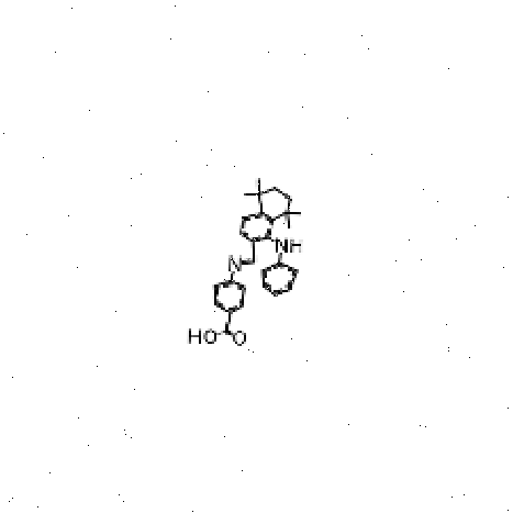 CC1(C)CCC(C)(C)c2c1ccc(C=Nc1ccc(C(=O)O)cc1)c2Nc1ccccc1